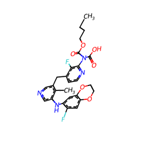 CCCCOC(=O)N(C(=O)O)c1nccc(Cc2cncc(Nc3cc4c(cc3F)OCCO4)c2C)c1F